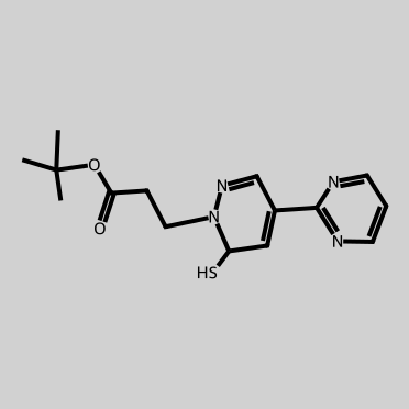 CC(C)(C)OC(=O)CCN1N=CC(c2ncccn2)=CC1S